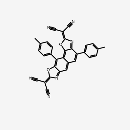 Cc1ccc(-c2cc3cc4nc(=C(C#N)C#N)oc4c(-c4ccc(C)cc4)c3c3oc(=C(C#N)C#N)nc23)cc1